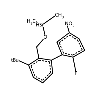 C[SiH](C)OCc1c(-c2cc([N+](=O)[O-])ccc2F)cccc1C(C)(C)C